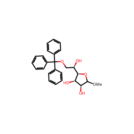 COC1O[C@H]([C@H](O)COC(c2ccccc2)(c2ccccc2)c2ccccc2)[C@H](O)[C@@H]1O